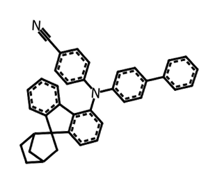 N#Cc1ccc(N(c2ccc(-c3ccccc3)cc2)c2cccc3c2-c2ccccc2C32CC3CCC2C3)cc1